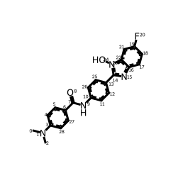 CN(C)c1ccc(C(=O)Nc2ccc(-c3nc4ccc(F)cc4n3O)cc2)cc1